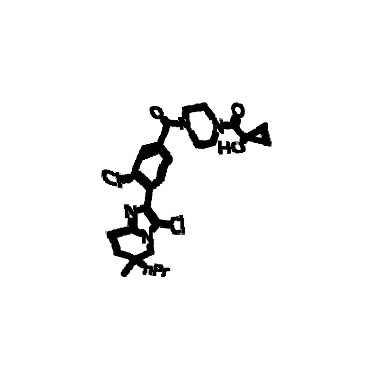 CCCC1(C)CCc2nc(-c3ccc(C(=O)N4CCN(C(=O)C5(O)CC5)CC4)cc3Cl)c(Cl)n2C1